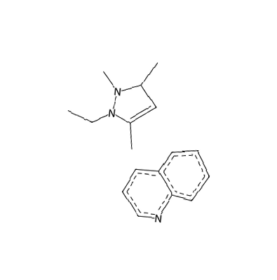 CCN1C(C)=CC(C)N1C.c1ccc2ncccc2c1